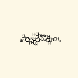 COc1cc2c(Nc3cc(Cl)c(Br)cc3F)ncnc2cc1OC[C@H]1C[C@@H]2CN(C)C[C@@H]2C1.Cl